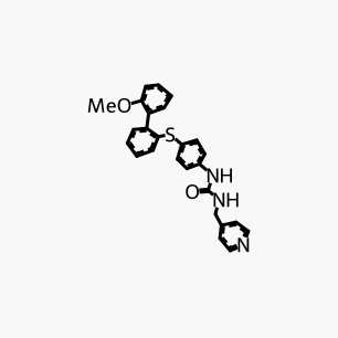 COc1ccccc1-c1ccccc1Sc1ccc(NC(=O)NCc2ccncc2)cc1